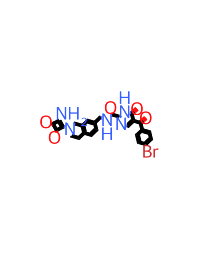 Nc1c(N2CCc3ccc(CNC(=O)c4ncc(C(=O)c5ccc(Br)cc5)c(=O)[nH]4)cc3C2)c(=O)c1=O